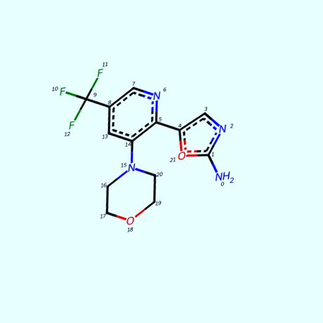 Nc1ncc(-c2ncc(C(F)(F)F)cc2N2CCOCC2)o1